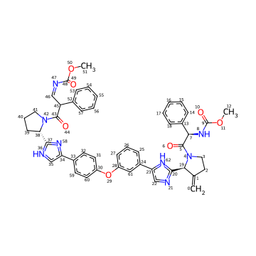 C=C1CCN(C(=O)[C@H](NC(=O)OC)c2ccccc2)[C@@H]1c1ncc(-c2cccc(Oc3ccc(-c4c[nH]c([C@@H]5CCCN5C(=O)C(/C=N\C(=O)OC)c5ccccc5)n4)cc3)c2)[nH]1